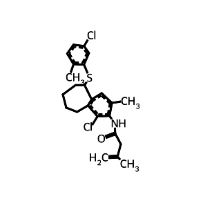 C=C(C)CC(=O)Nc1c(C)cc2c(c1Cl)CCCCC2Sc1cc(Cl)ccc1C